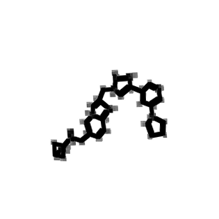 c1ccn(-c2cncc(-c3cn(Cc4cn5cc(CNC67CC(C6)C7)ccc5n4)nn3)c2)c1